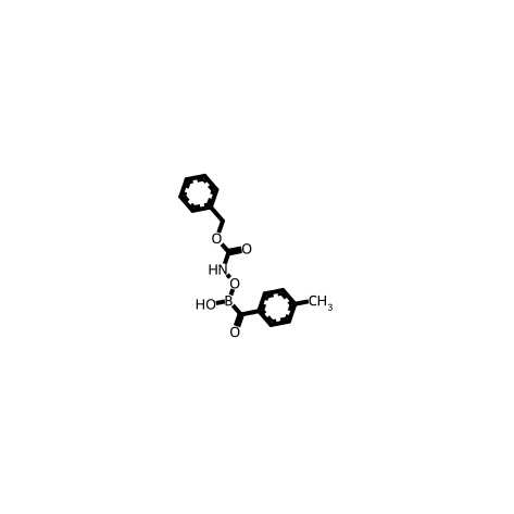 Cc1ccc(C(=O)B(O)ONC(=O)OCc2ccccc2)cc1